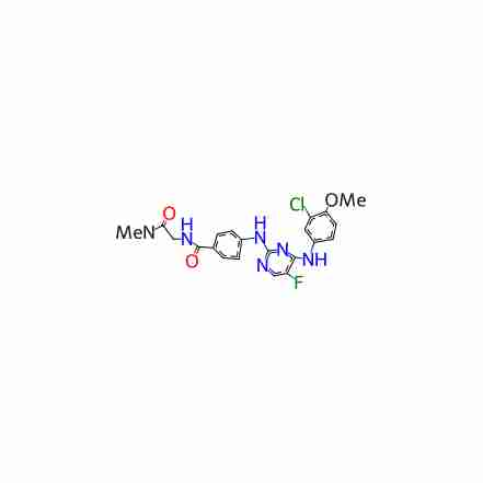 CNC(=O)CNC(=O)c1ccc(Nc2ncc(F)c(Nc3ccc(OC)c(Cl)c3)n2)cc1